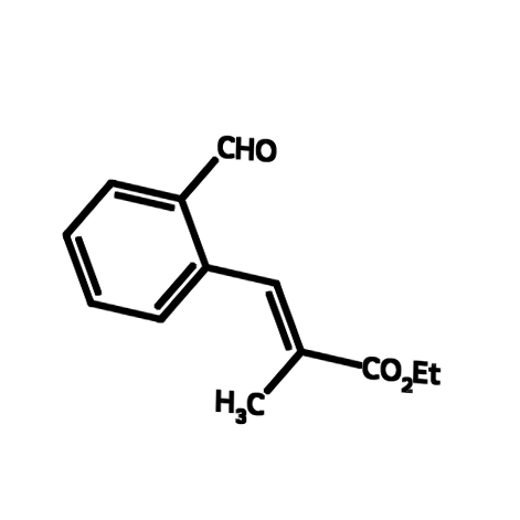 CCOC(=O)/C(C)=C/c1ccccc1C=O